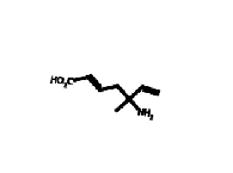 C=CC(C)(N)CC=CC(=O)O